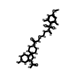 COc1cc(C)c(S(=O)(=O)N(C)CCOCC(=O)N2CCC(CNC(C)=O)(N3CCN(C)CC3)CC2)c(C)c1